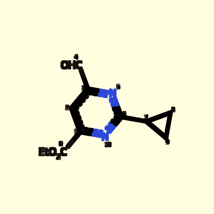 CCOC(=O)c1cc(C=O)nc(C2CC2)n1